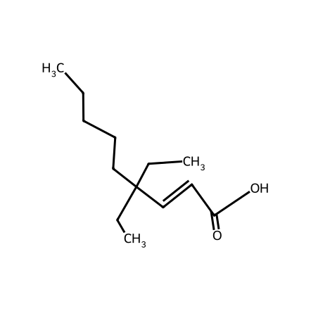 CCCCCC(C=CC(=O)O)(CC)CC